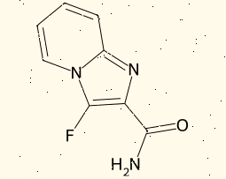 NC(=O)c1nc2ccccn2c1F